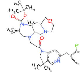 C[C@@H]1COCCN1C[C@H]1CN(C(=O)OC(C)(C)C)[C@H](C)CN1CC(=O)N1CC(C)(C)c2cnc(Cc3ccccc3F)cc21